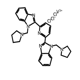 [Cl-].[Cl-].[Cl-].[V+3].c1cc(-c2nc3ccccc3n2CN2CCCC2)nc(-c2nc3ccccc3n2CN2CCCC2)c1